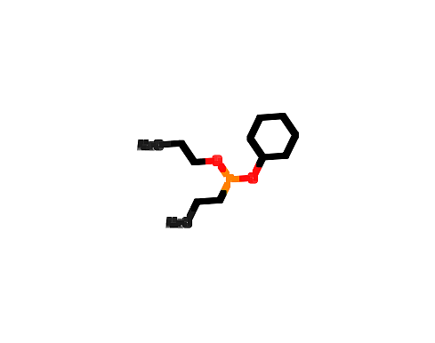 COCCOP(CCOC)OC1CCCCC1